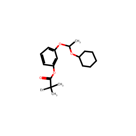 CCC(C)(C)C(=O)Oc1cccc(OC(C)OC2CCCCC2)c1